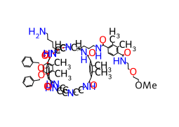 COCCOCCNC(=O)c1ccc(C(=O)NCCC[C@H]2CN3CCNC(=O)c4ccc(c(C)c4C)C(=O)NCCN(CCNC(=O)c4ccc(c(C)c4C)C(=O)N2)CCNC(=O)c2ccc(c(OCc4ccccc4)c2OCc2ccccc2)C(=O)N[C@@H](CCCCN)C3)c(C)c1C